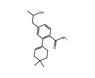 CC(O)Cc1ccc(C(N)=O)c(C2=CCC(C)(C)CC2)c1